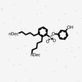 CCCCCCCCCCCCCCc1cccc(S(=O)(=O)Oc2cccc(O)c2)c1CCCCCCCCCCCCCC